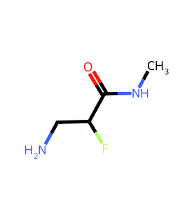 CNC(=O)C(F)CN